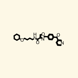 O=C(c1ccc(-c2nc(C(=O)NCCCCOC3CCCCC3)co2)cc1)c1cccnc1